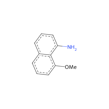 COc1cccc2cccc(N)c12